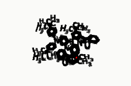 CC(C)(C)c1ccc(N(c2ccc(C(C)(C)C)cc2)c2ccc3c(c2)N(c2cccc4oc5ccccc5c24)c2cc(C(C)(C)C)cc4c2B3c2cc(C(C)(C)C)cc3c5c6c(oc5n-4c23)=CCCC=6)cc1